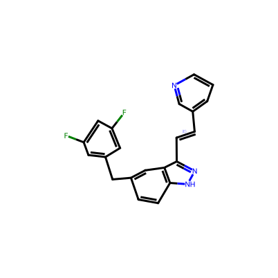 Fc1cc(F)cc(Cc2ccc3[nH]nc(/C=C/c4cccnc4)c3c2)c1